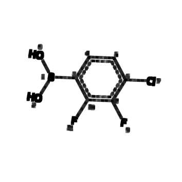 OB(O)c1ccc(Cl)c(F)c1F